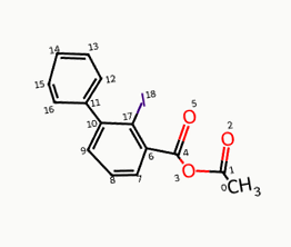 CC(=O)OC(=O)c1cccc(-c2ccccc2)c1I